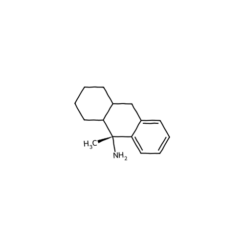 C[C@]1(N)c2ccccc2CC2CCCCC21